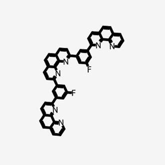 Fc1cc(-c2ccc3ccc4cccnc4c3n2)cc(-c2ccc3ccc4ccc(-c5cc(F)cc(-c6ccc7ccc8cccnc8c7n6)c5)nc4c3n2)c1